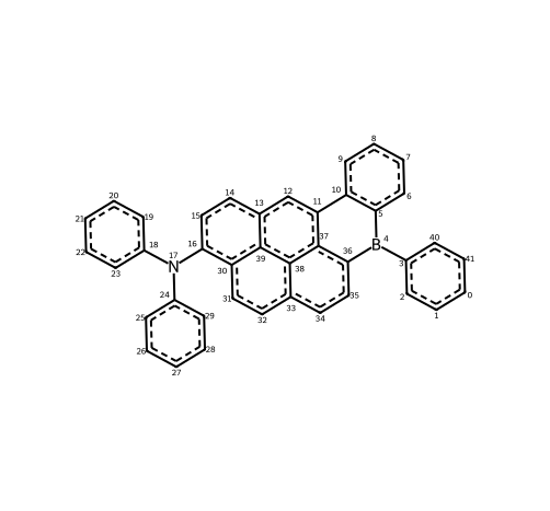 c1ccc(B2c3ccccc3-c3cc4ccc(N(c5ccccc5)c5ccccc5)c5ccc6ccc2c3c6c45)cc1